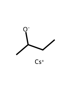 CCC(C)[O-].[Cs+]